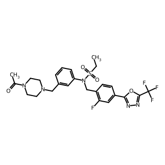 CCS(=O)(=O)N(Cc1ccc(-c2nnc(C(F)(F)F)o2)cc1F)c1cccc(CN2CCN(C(C)=O)CC2)c1